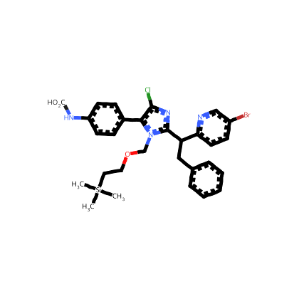 C[Si](C)(C)CCOCn1c(C(Cc2ccccc2)c2ccc(Br)cn2)nc(Cl)c1-c1ccc(NC(=O)O)cc1